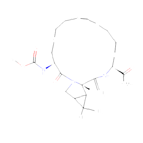 C=C1N[C@H](C(=O)OC)CCCCCCCCCC[C@H](NC(=O)OC(C)(C)C)C(=O)N2CC3C([C@@H]12)C3(C)C